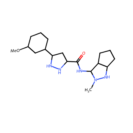 COC1CCCC(C2CC(C(=O)NC3C4CCCC4NN3C)NN2)C1